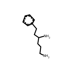 NCCCC(N)CCc1ccccc1